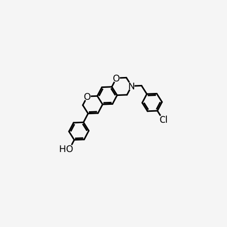 Oc1ccc(C2=Cc3cc4c(cc3OC2)OCN(Cc2ccc(Cl)cc2)C4)cc1